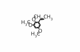 CC=Cc1cc(OC)cc(OC)c1OC